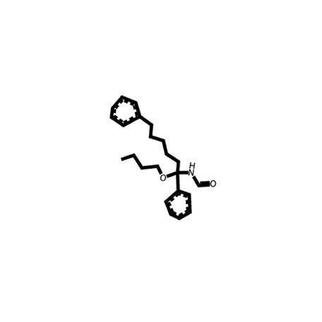 CCCCOC(CCCCCc1ccccc1)(NC=O)c1ccccc1